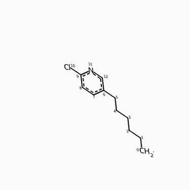 [CH2]CCCCCc1ccc(Cl)nc1